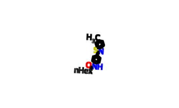 CCCCCCC(=O)Nc1ccc(-c2nc3ccc(C)cc3s2)cc1